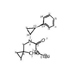 CC(C)(C)OC(=O)N(CC1(C=O)CC1)[C@@H]1C[C@H]1c1ccccc1